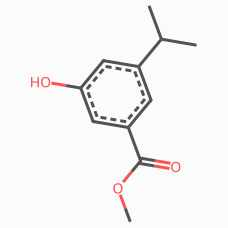 COC(=O)c1cc(O)cc(C(C)C)c1